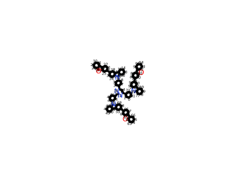 c1cc(-c2cc(-c3ccc(-n4c5ccccc5c5cc(-c6ccc7c(c6)oc6ccccc67)ccc54)cc3)nc(-c3cccc(-n4c5ccccc5c5cc(-c6ccc7c(c6)oc6ccccc67)ccc54)c3)n2)cc(-n2c3ccccc3c3cc(-c4ccc5c(c4)oc4ccccc45)ccc32)c1